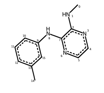 CNc1nccnc1Nc1cccc(C)c1